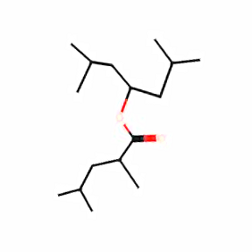 CC(C)CC(CC(C)C)OC(=O)C(C)CC(C)C